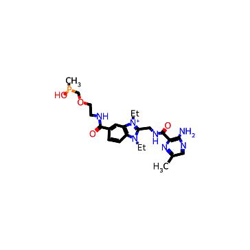 CCn1c(CNC(=O)c2nc(C)cnc2N)[n+](CC)c2cc(C(=O)NCCOCP(C)O)ccc21